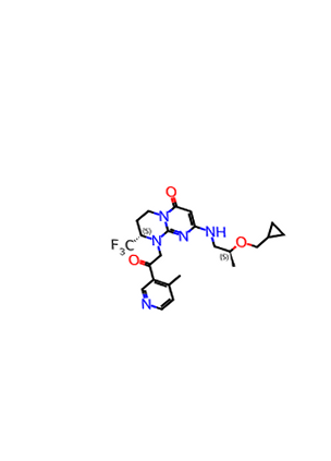 Cc1ccncc1C(=O)CN1c2nc(NC[C@H](C)OCC3CC3)cc(=O)n2CC[C@H]1C(F)(F)F